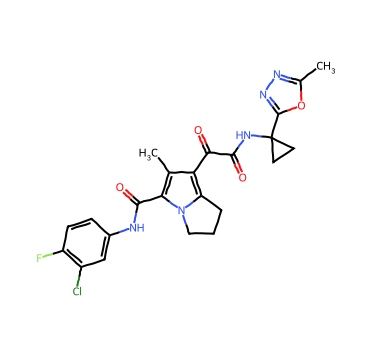 Cc1nnc(C2(NC(=O)C(=O)c3c(C)c(C(=O)Nc4ccc(F)c(Cl)c4)n4c3CCC4)CC2)o1